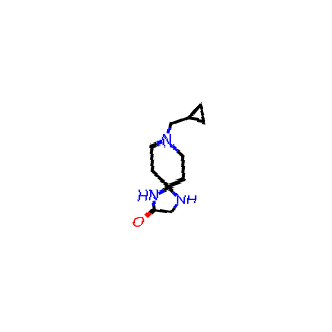 O=C1CNC2(CCN(CC3CC3)CC2)N1